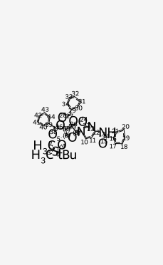 CC(C)(C)[Si](C)(C)OC[C@H]1O[C@@H](n2ccc(NC(=O)c3ccccc3)nc2=O)[C@H](OC(=O)c2ccccc2)[C@@H]1OC(=O)c1ccccc1